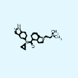 CN(C)CCN1CCC2C1=CCCC2C(=O)N(C1CC1)C1CCC2NN=CC2C1